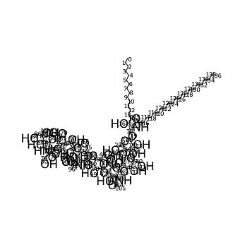 CCCCCCCCCCCCC/C=C/[C@@H](O)[C@H](CO[C@@H]1OC(CO)[C@@H](O[C@@H]2OC(CO)[C@H](O)[C@H](O[C@@H]3OC(CO)[C@@H](O[C@@H]4OC(CO)[C@H](O)[C@H](O[C@@H]5OC(CO)[C@@H](O[C@@H]6OC(CO)[C@H](O)[C@H](O[C@]7(C(=O)O)CC(O)[C@@H](NC(=O)CO)C([C@H](O)[C@H](O)CO)O7)C6O)[C@H](O)C5NC(C)=O)C4O)[C@H](O)C3NC(C)=O)C2O)[C@H](O)C1O)NC(=O)CCCCCCCCCCCCCCCCCCCCC